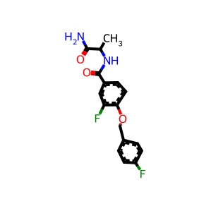 CC(NC(=O)c1ccc(OCc2ccc(F)cc2)c(F)c1)C(N)=O